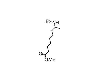 [CH2]CNC(C)CCCCCCC(=O)OC